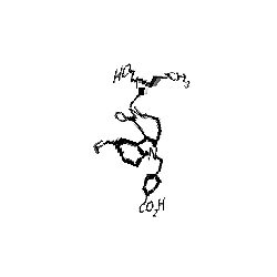 CN(CCO)CCN1CCc2c(c3cc(F)ccc3n2Cc2ccc(C(=O)O)cc2)C1=O